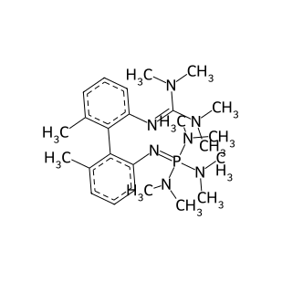 Cc1cccc(N=C(N(C)C)N(C)C)c1-c1c(C)cccc1N=P(N(C)C)(N(C)C)N(C)C